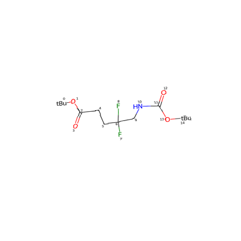 CC(C)(C)OC(=O)CCC(F)(F)CNC(=O)OC(C)(C)C